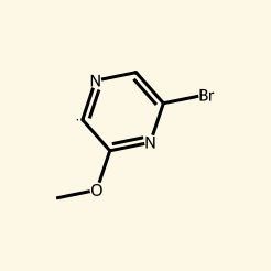 COc1[c]ncc(Br)n1